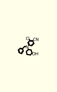 N#Cc1ccc(N(Cc2ccccc2)C2CCCC(O)C2)cc1Cl